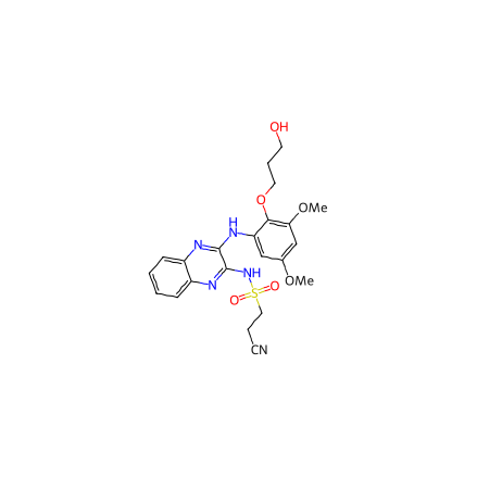 COc1cc(Nc2nc3ccccc3nc2NS(=O)(=O)CCC#N)c(OCCCO)c(OC)c1